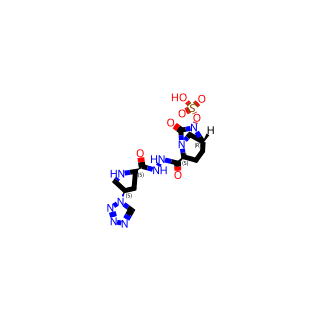 O=C(NNC(=O)[C@@H]1CC[C@@H]2CN1C(=O)N2OS(=O)(=O)O)[C@@H]1C[C@H](n2cnnn2)CN1